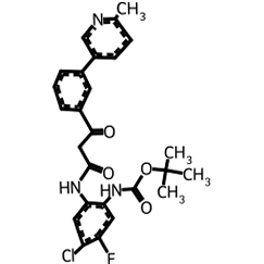 Cc1ccc(-c2cccc(C(=O)CC(=O)Nc3cc(Cl)c(F)cc3NC(=O)OC(C)(C)C)c2)cn1